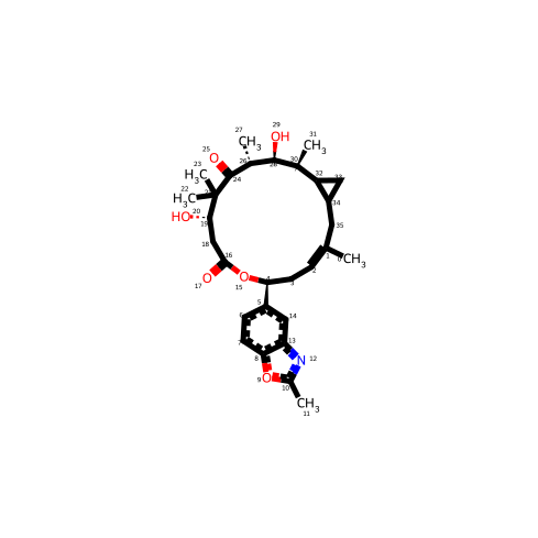 C/C1=C/C[C@@H](c2ccc3oc(C)nc3c2)OC(=O)C[C@H](O)C(C)(C)C(=O)[C@H](C)[C@@H](O)[C@@H](C)C2CC2C1